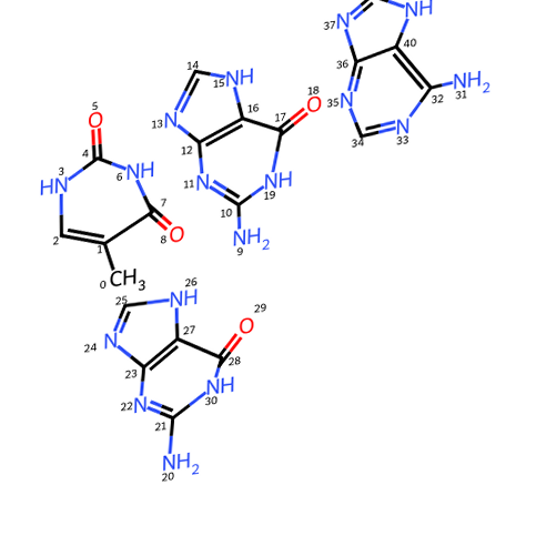 Cc1c[nH]c(=O)[nH]c1=O.Nc1nc2nc[nH]c2c(=O)[nH]1.Nc1nc2nc[nH]c2c(=O)[nH]1.Nc1ncnc2nc[nH]c12